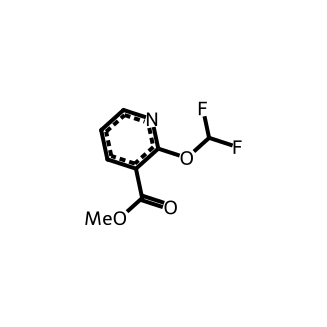 COC(=O)c1cccnc1OC(F)F